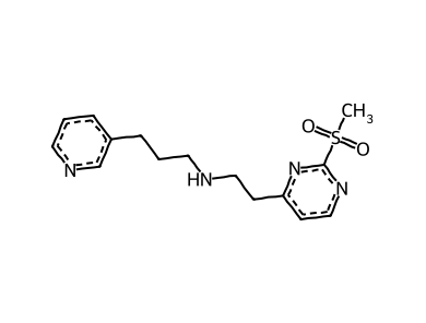 CS(=O)(=O)c1nccc(CCNCCCc2cccnc2)n1